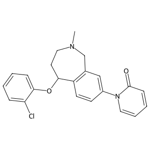 CN1CCC(Oc2ccccc2Cl)c2ccc(-n3ccccc3=O)cc2C1